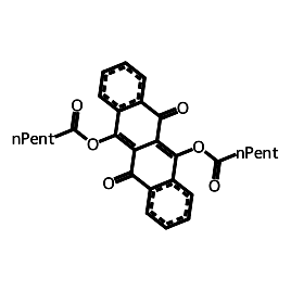 CCCCCC(=O)OC1=C2C(=O)c3ccccc3C(OC(=O)CCCCC)=C2C(=O)c2ccccc21